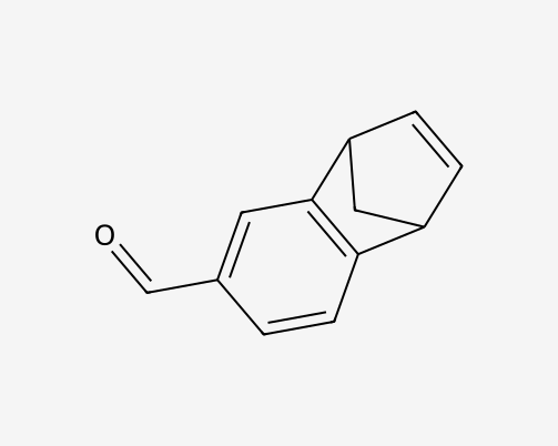 O=Cc1ccc2c(c1)C1C=CC2C1